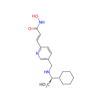 O=C(/C=C/c1ccc(CN[C@H](C(=O)O)C2CCCCC2)cn1)NO